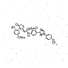 COc1ccc(C(C)C)c(N2C(=O)CS/C2=N\C(=O)Nc2ccc(-c3ncn(-c4ccc(OC(F)(F)F)cc4)n3)cc2OC)c1